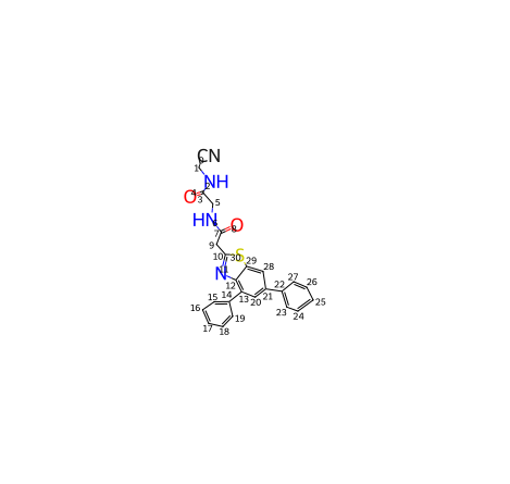 N#CCNC(=O)CNC(=O)Cc1nc2c(-c3ccccc3)cc(-c3ccccc3)cc2s1